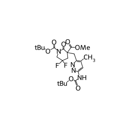 COC(=O)C1(Cc2nnc(NC(=O)OC(C)(C)C)cc2C)CC(F)(F)CN(C(=O)OC(C)(C)C)C1=O